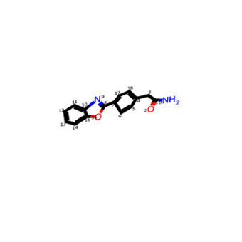 NC(=O)Cc1ccc(-c2nc3ccccc3o2)cc1